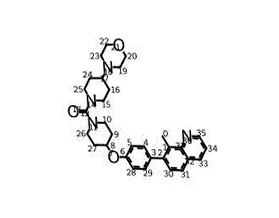 Cc1c(-c2ccc(OC3CCN(C(=O)N4CCC(N5CCOCC5)CC4)CC3)cc2)ccc2cccnc12